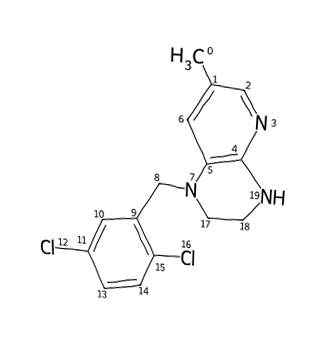 Cc1cnc2c(c1)N(Cc1cc(Cl)ccc1Cl)CCN2